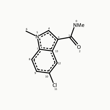 CNC(=O)c1cn(C)c2ccc(Cl)cc12